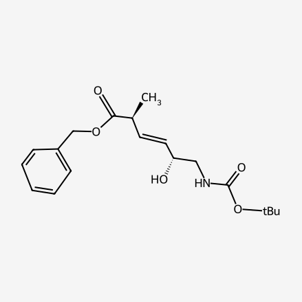 C[C@@H](/C=C/[C@@H](O)CNC(=O)OC(C)(C)C)C(=O)OCc1ccccc1